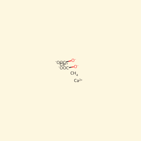 C.O=C([O-])[O-].O=C([O-])[O-].[Ca+2].[Ca+2]